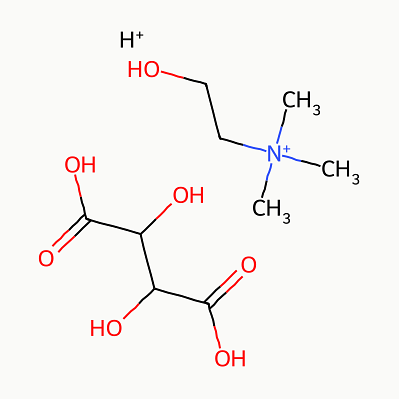 C[N+](C)(C)CCO.O=C(O)C(O)C(O)C(=O)O.[H+]